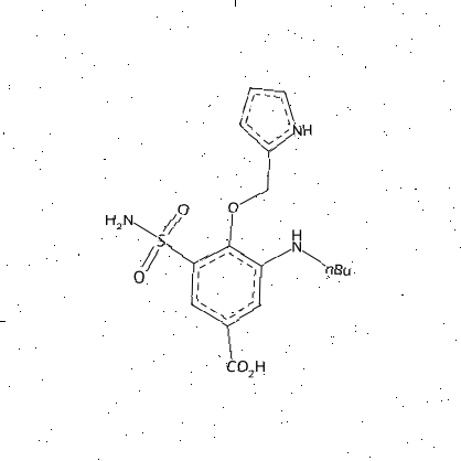 CCCCNc1cc(C(=O)O)cc(S(N)(=O)=O)c1OCc1ccc[nH]1